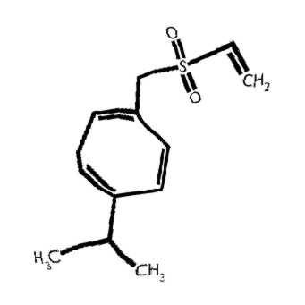 C=CS(=O)(=O)Cc1ccc(C(C)C)cc1